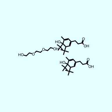 CC1=CC(CCC(=O)O)=CC(C(C)(C)C)C1(O)C(C)(C)C.CC1=CC(CCC(=O)O)=CC(C(C)(C)C)C1(O)C(C)(C)C.OCCOCCOCCO